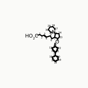 O=C(O)CCC=CCCC1C(OCc2ccc(-c3ccccc3)cc2)CCC1N1CCCCC1